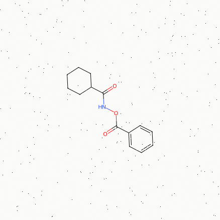 O=C(ONC(=O)C1CCCCC1)c1ccccc1